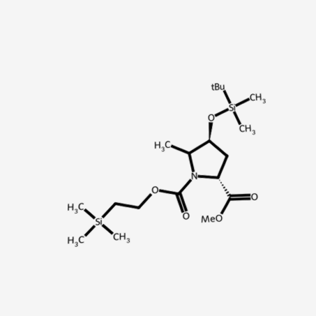 COC(=O)[C@H]1C[C@H](O[Si](C)(C)C(C)(C)C)C(C)N1C(=O)OCC[Si](C)(C)C